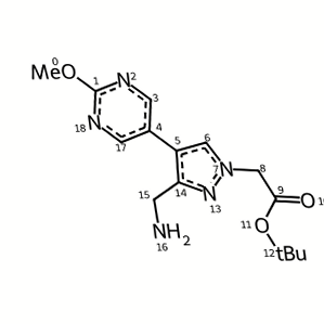 COc1ncc(-c2cn(CC(=O)OC(C)(C)C)nc2CN)cn1